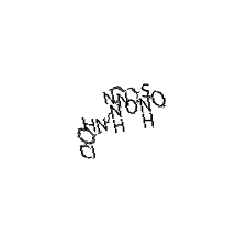 O=C1NC(=O)/C(=C\c2ccnc(NCCNCc3cccc(Cl)c3)n2)S1